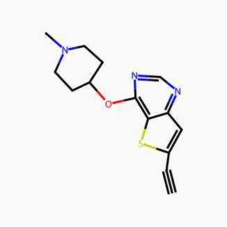 C#Cc1cc2ncnc(OC3CCN(C)CC3)c2s1